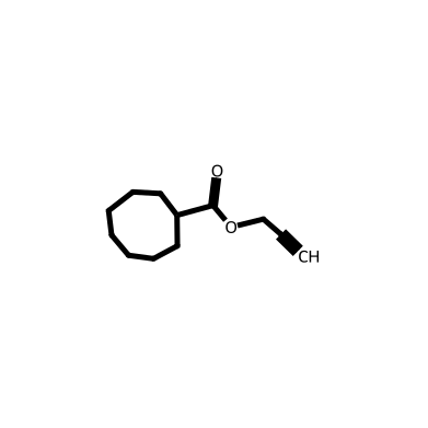 C#CCOC(=O)C1CCCCCCC1